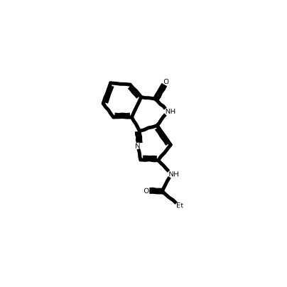 CCC(=O)Nc1cnc2c(c1)[nH]c(=O)c1ccccc12